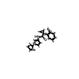 O=C(Nc1ccn(-c2nccs2)n1)C1(c2ccccc2F)CC1